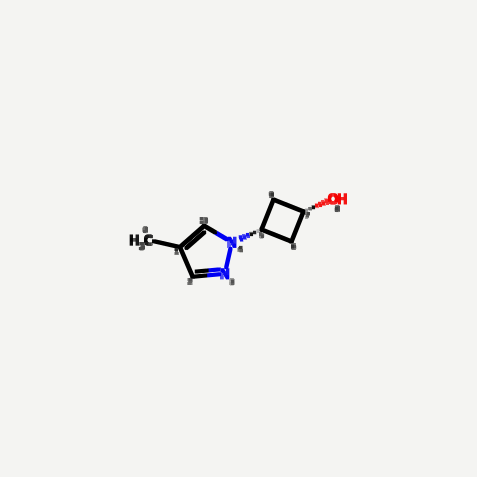 Cc1cnn([C@H]2C[C@@H](O)C2)c1